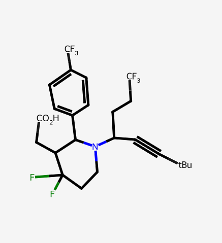 CC(C)(C)C#CC(CCC(F)(F)F)N1CCC(F)(F)C(CC(=O)O)C1c1ccc(C(F)(F)F)cc1